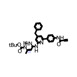 C#CC(=O)Nc1ccc(-c2cc(Cc3ccccc3)cc(NC(=N)/C=C(/C)NC(=O)OC(C)(C)C)n2)cc1